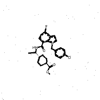 COC(=O)[C@H]1CC[C@H](C(C)NC(=O)c2ccc(F)c3ccn(Cc4ccc(Cl)cc4)c23)CC1